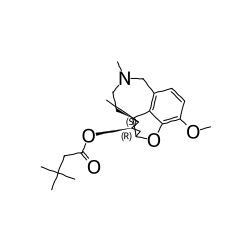 COc1ccc2c3c1OC1C[C@@H](OC(=O)CC(C)(C)C)C(C)[C@@]31CCN(C)C2